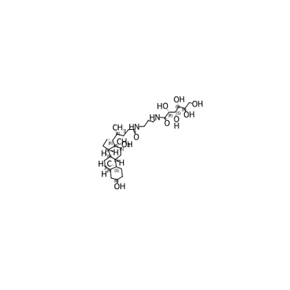 C[C@H](CCC(=O)NCCCNC(=O)[C@H](O)[C@@H](O)[C@H](O)[C@H](O)CO)[C@H]1CC[C@H]2[C@@H]3CC[C@@H]4C[C@H](O)CC[C@]4(C)[C@H]3C[C@H](O)[C@]12C